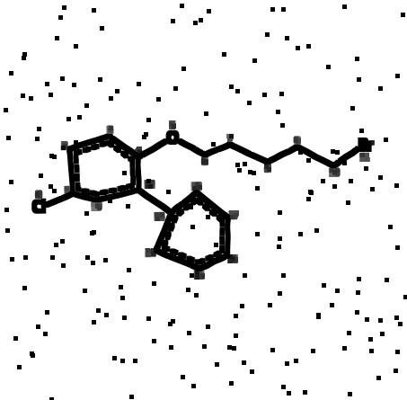 Clc1ccc(OCCCCCBr)c(-c2ccccc2)c1